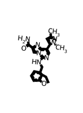 Cc1cc(-c2cnc(NCc3cccc4c3CCO4)n3cc(C(N)=O)nc23)n(C)n1